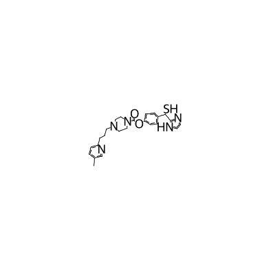 Cc1ccc(CCCN2CCN(C(=O)Oc3ccc(C(S)c4ncc[nH]4)cc3)CC2)nc1